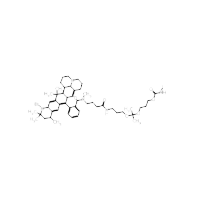 CCN1C2C=C3C(=C(c4ccccc4C(=O)N(C)CCCC(=O)NCCCOC(C)(C)OCCCOC(=O)NI)C4C=C5CCCN6CCCC(C56)C4C3(C)C)C=C2C(C)CC1(C)C